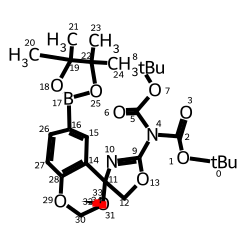 CC(C)(C)OC(=O)N(C(=O)OC(C)(C)C)C1=NC2(CO1)c1cc(B3OC(C)(C)C(C)(C)O3)ccc1OCC21COC1